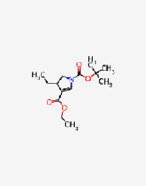 CCOC(=O)C1=CN(C(=O)OC(C)(C)C)CC1CC